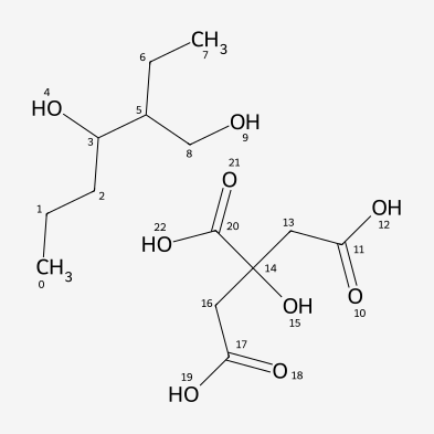 CCCC(O)C(CC)CO.O=C(O)CC(O)(CC(=O)O)C(=O)O